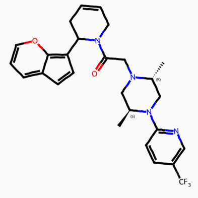 C[C@@H]1CN(c2ccc(C(F)(F)F)cn2)[C@@H](C)CN1CC(=O)N1CC=CCC1c1ccc2cccoc1-2